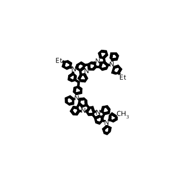 CCc1ccc(N(c2ccccc2)c2ccc3c4cc5c(cc4n4c6ccccc6c2c34)c2ccc(N(c3ccc(CC)cc3)c3cccc(Cc4ccc(N(c6ccccc6)c6ccc7c8cc9c(cc8n8c%10ccccc%10c6c78)c6ccc(N(c7ccccc7)c7ccc(C)cc7)c7c8ccccc8n9c67)cc4)c3)c3c4ccccc4n5c23)cc1